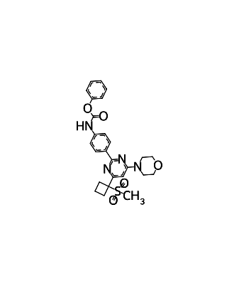 CS(=O)(=O)C1(c2cc(N3CCOCC3)nc(-c3ccc(NC(=O)Oc4ccccc4)cc3)n2)CCC1